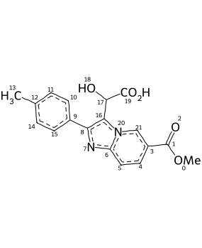 COC(=O)c1ccc2nc(-c3ccc(C)cc3)c(C(O)C(=O)O)n2c1